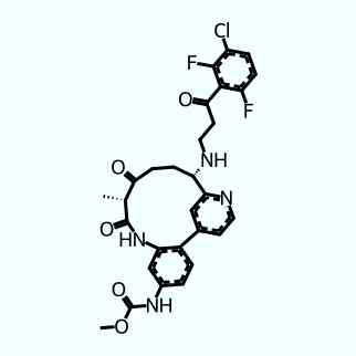 COC(=O)Nc1ccc2c(c1)NC(=O)[C@H](C)C(=O)CC[C@H](NCCC(=O)c1c(F)ccc(Cl)c1F)c1cc-2ccn1